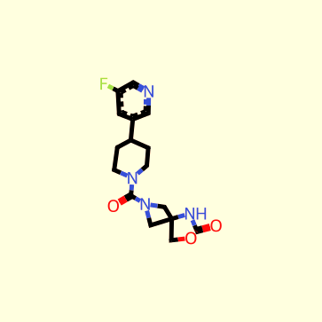 O=C1NC2(CO1)CN(C(=O)N1CCC(c3cncc(F)c3)CC1)C2